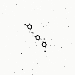 CC(=O)Nc1ccc2c(c1)ncn2-c1ccc(NC(=O)Nc2ccc(Cl)c(C(F)(F)F)c2)cc1